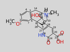 COc1ccc2c(c1)[C@]13CCN(C)[C@H](C2)[C@]1(O)Cc1cc(C(=O)O)c(=O)[nH]c1C3